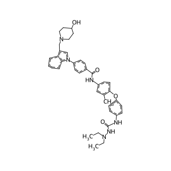 CCN(CC)NC(=O)Nc1ccc(Oc2ccc(NC(=O)c3ccc(-n4cc(CN5CCC(O)CC5)c5ccccc54)cc3)cc2C)cc1